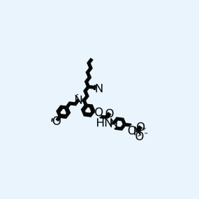 CCCCCCC(C#N)CCC(c1cccc(OCC(=O)NN2CCC(CO[N+](=O)[O-])CC2)c1)N(C)CCc1ccc(OC)cc1